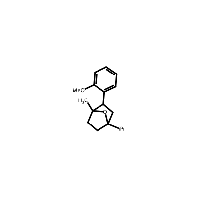 COc1ccccc1C1CC2(C(C)C)CCC1(C)O2